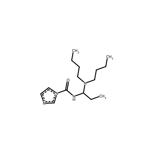 CCCCN(CCCC)C(CC)NC(=O)n1ccnc1